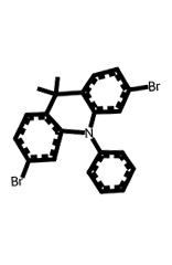 CC1(C)c2ccc(Br)cc2N(c2ccccc2)c2cc(Br)ccc21